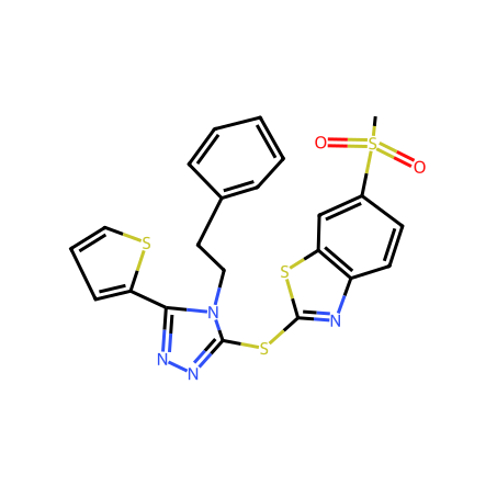 CS(=O)(=O)c1ccc2nc(Sc3nnc(-c4cccs4)n3CCc3ccccc3)sc2c1